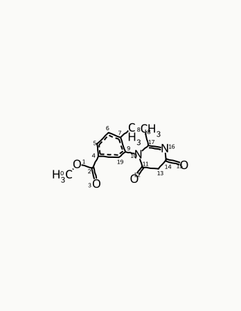 COC(=O)c1ccc(C)c(N2C(=O)CC(=O)N=C2C)c1